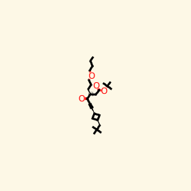 CCCCOCCC[C@@H](CC(=O)OC(C)(C)C)C(=O)C#C[C@H]1C[C@@H](CC(C)(C)C)C1